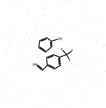 N=Cc1ccc(C(F)(F)F)cc1.Oc1ccccc1